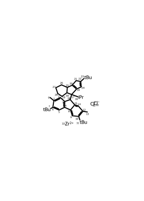 Cc1cc2c(cc1C(C)(C)C)-c1cc(C(C)(C)C)c(C)cc1C2C1(C(C)C)C2=C(CC(C(C)(C)C)=C2)C2CCCCC21.[Cl-].[Cl-].[Zr+2]